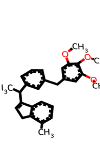 COc1cc(Cc2cccc(C(C)C3=CCc4c(C)cccc43)c2)cc(OC)c1OC